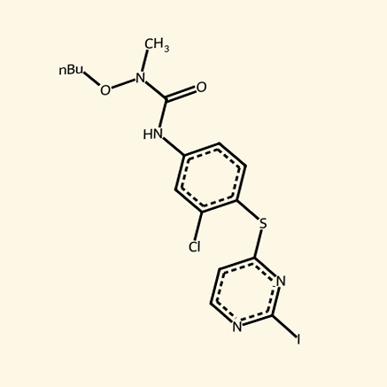 CCCCON(C)C(=O)Nc1ccc(Sc2ccnc(I)n2)c(Cl)c1